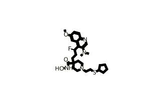 COc1ccc2ncc(N(C)C)c([C@H](F)CCC3(C(=O)NO)CCN(CCSC4CCCC4)CC3)c2c1